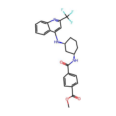 COC(=O)c1ccc(C(=O)N[C@@H]2CCC[C@H](Nc3cc(C(F)(F)F)nc4ccccc34)C2)cc1